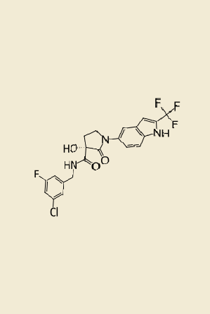 O=C(NCc1cc(F)cc(Cl)c1)[C@@]1(O)CCN(c2ccc3[nH]c(C(F)(F)F)cc3c2)C1=O